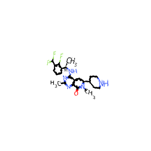 Cc1nc(N[C@H](C)c2cccc(C(F)F)c2F)c2cc(C3CCNCC3)n(C)c(=O)c2n1